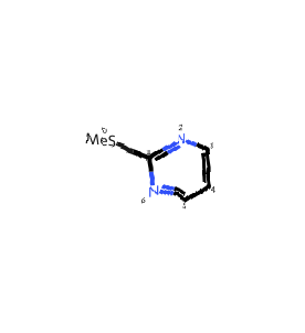 [CH2]Sc1ncccn1